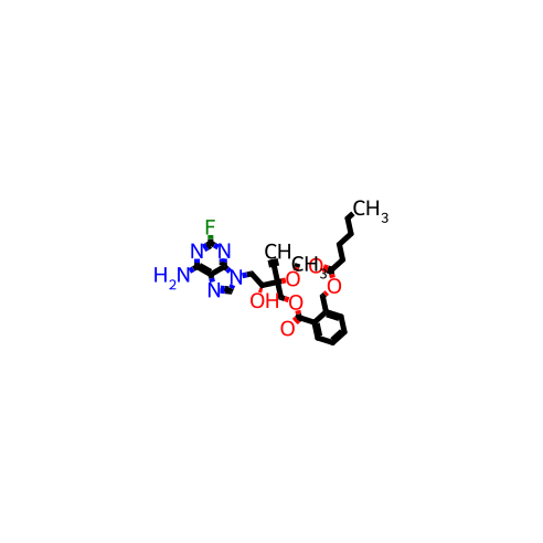 C#CC(COC(=O)c1ccccc1COC(=O)CCCCC)(OC)[C@@H](O)Cn1cnc2c(N)nc(F)nc21